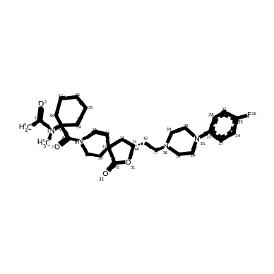 CC(=O)N(C)C1(C(=O)N2CCC3(CC2)C[C@H](CCN2CCN(c4ccc(F)cc4)CC2)OC3=O)CCCCC1